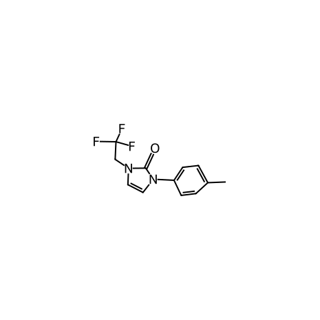 Cc1ccc(-n2ccn(CC(F)(F)F)c2=O)cc1